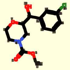 CC(C)(C)OC(=O)N1CCOC(C(O)c2cccc(Cl)c2)C1